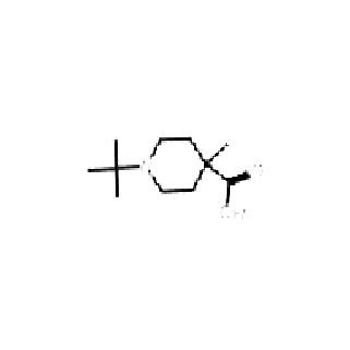 CC1(C(=O)O)CCN(C(C)(C)C)CC1